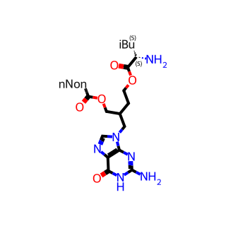 CCCCCCCCCC(=O)OCC(CCOC(=O)[C@@H](N)[C@@H](C)CC)Cn1cnc2c(=O)[nH]c(N)nc21